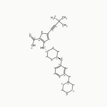 CC(C)(C)C#Cc1cc(N[C@H]2CC[C@H](Oc3cccc(CN4CCOCC4)n3)CC2)c(C(=O)O)s1